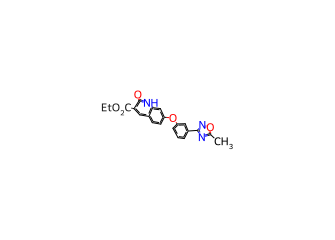 CCOC(=O)c1cc2ccc(Oc3cccc(-c4noc(C)n4)c3)cc2[nH]c1=O